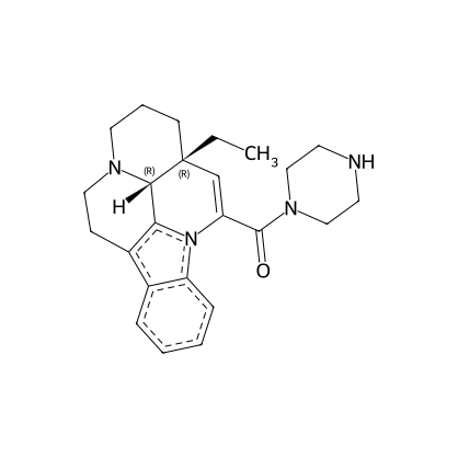 CC[C@]12C=C(C(=O)N3CCNCC3)n3c4c(c5ccccc53)CCN(CCC1)[C@@H]42